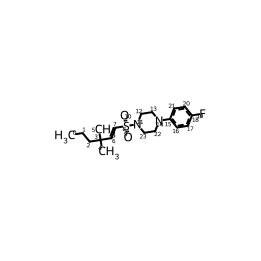 CCCC(C)(C)/C=C/S(=O)(=O)N1CCN(c2ccc(F)cc2)CC1